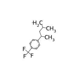 [CH2]C(C)CC(C)c1ccc(C(F)(F)F)cc1